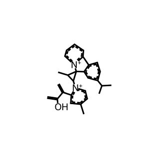 C=C(O)C(=C)c1cc(C)cc[n+]1C1C(C)C12c1cc(C(C)C)ccc1-c1cccc[n+]12